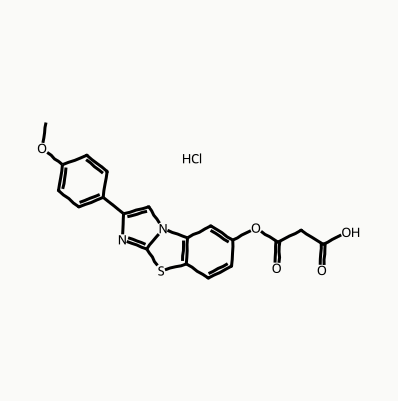 COc1ccc(-c2cn3c(n2)sc2ccc(OC(=O)CC(=O)O)cc23)cc1.Cl